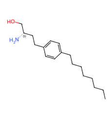 CCCCCCCCc1ccc(CC[C@H](N)CO)cc1